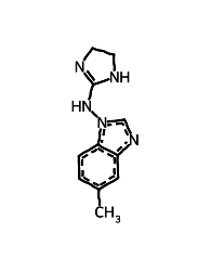 Cc1ccc2c(c1)ncn2NC1=NCCN1